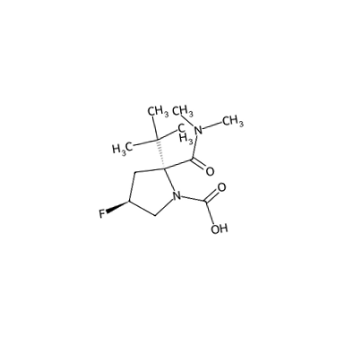 CN(C)C(=O)[C@]1(C(C)(C)C)C[C@H](F)CN1C(=O)O